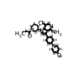 C=CC(=O)N1CCC[C@@H](n2nc(-c3ccc(-n4ccc(=O)cc4)cc3)c3c(N)ncc(Cl)c32)C1